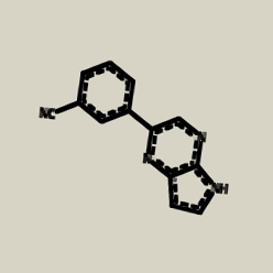 N#Cc1cccc(-c2cnc3[nH]ccc3n2)c1